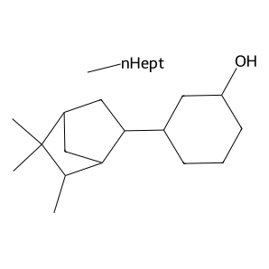 CC1C2CC(CC2C2CCCC(O)C2)C1(C)C.CCCCCCCC